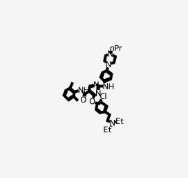 CCCN1CCN(c2ccc(Nc3ncc(C(=O)Nc4c(C)cccc4C)c(Oc4ccc(CCN(CC)CC)cc4Cl)n3)cc2)CC1